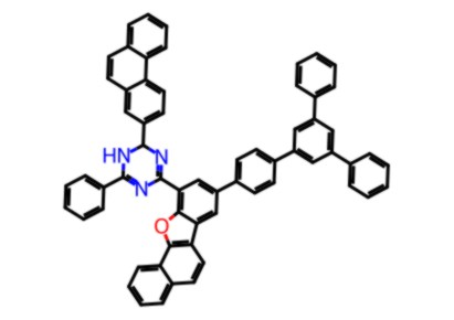 c1ccc(C2=NC(c3cc(-c4ccc(-c5cc(-c6ccccc6)cc(-c6ccccc6)c5)cc4)cc4c3oc3c5ccccc5ccc43)=NC(c3ccc4c(ccc5ccccc54)c3)N2)cc1